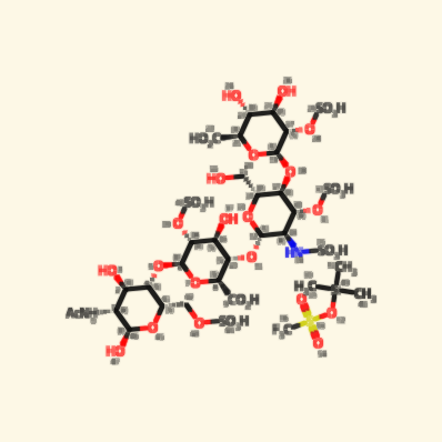 CC(=O)N[C@@H]1[C@@H](O)[C@H](O[C@@H]2O[C@H](C(=O)O)[C@@H](O[C@@H]3O[C@H](CO)[C@@H](O[C@H]4O[C@@H](C(=O)O)[C@H](O)[C@@H](O)[C@@H]4OS(=O)(=O)O)[C@H](OS(=O)(=O)O)[C@H]3NS(=O)(=O)O)[C@H](O)[C@H]2OS(=O)(=O)O)[C@H](COS(=O)(=O)O)O[C@H]1O.C[Si](C)(C)OS(=O)(=O)C(F)(F)F